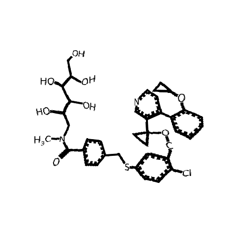 CN(CC(O)C(O)C(O)C(O)CO)C(=O)c1ccc(CSc2ccc(Cl)c(COC3(c4cnccc4-c4ccccc4OC4CC4)CC3)c2)cc1